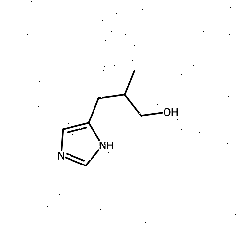 CC(CO)Cc1cnc[nH]1